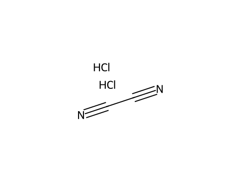 Cl.Cl.N#CC#N